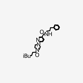 CCC(C)CCC(=O)N1CCN(c2ccc(C(=O)NCCCc3ccccc3)cn2)CC1